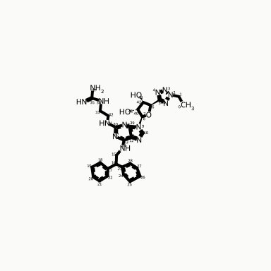 CCn1nnc([C@H]2O[C@@H](n3cnc4c(NCC(c5ccccc5)c5ccccc5)nc(NCCNC(=N)N)nc43)[C@H](O)[C@@H]2O)n1